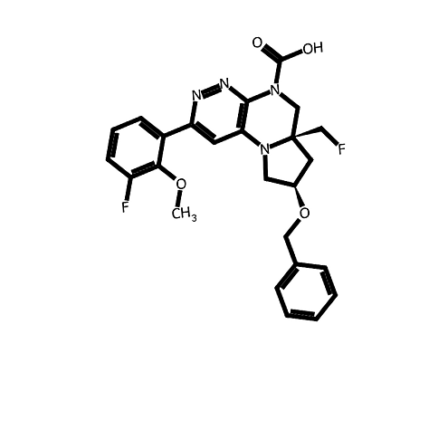 COc1c(F)cccc1-c1cc2c(nn1)N(C(=O)O)C[C@]1(CF)C[C@@H](OCc3ccccc3)CN21